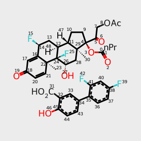 CCCC(=O)O[C@]1(C(=O)COC(C)=O)CC[C@H]2[C@@H]3C[C@H](F)C4=CC(=O)C=C[C@]4(C)[C@@]3(F)[C@@H](O)C[C@@]21C.O=C(O)c1cc(-c2ccc(F)cc2F)ccc1O